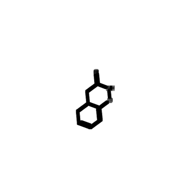 O=C1CC2CC=CC=C2ON1